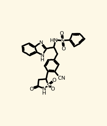 N#Cc1cc(CC(NS(=O)(=O)c2ccccc2)c2nc3ccccc3[nH]2)ccc1C1CC(=O)NS1(=O)=O